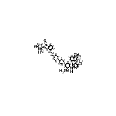 COc1cc(N2CCC(N3CCN(CCCc4cccc5c4CN(C4CCC(=O)NC4=O)C5=C=O)CC3)CC2)ccc1Nc1ncc(Cl)c(Nc2ccccc2P(C)(C)=O)n1